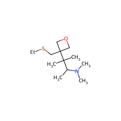 CCSCC1(C(C)(C)C(C)N(C)C)COC1